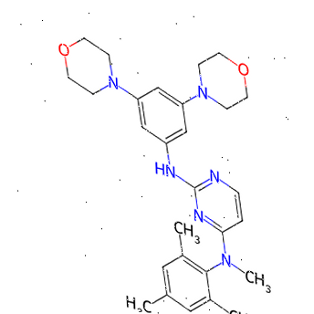 Cc1cc(C)c(N(C)c2ccnc(Nc3cc(N4CCOCC4)cc(N4CCOCC4)c3)n2)c(C)c1